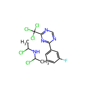 CC(Cl)NC(C)Cl.Fc1cccc(-c2ncnc(C(Cl)(Cl)Cl)n2)c1